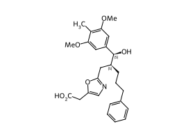 COc1cc([C@@H](O)[C@@H](CCCc2ccccc2)Cc2ncc(CC(=O)O)o2)cc(OC)c1C